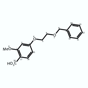 COc1cc(OCCOCc2ccccc2)ccc1C(=O)O